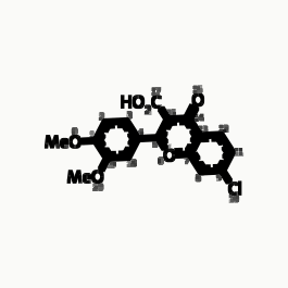 COc1ccc(-c2oc3cc(Cl)ccc3c(=O)c2C(=O)O)cc1OC